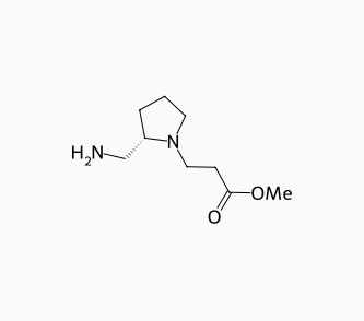 COC(=O)CCN1CCC[C@H]1CN